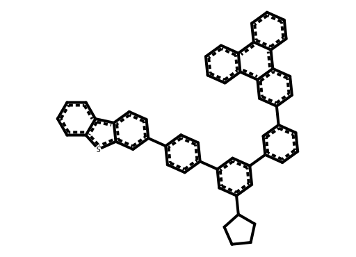 c1cc(-c2cc(-c3ccc(-c4ccc5c(c4)sc4ccccc45)cc3)cc(C3CCCC3)c2)cc(-c2ccc3c4ccccc4c4ccccc4c3c2)c1